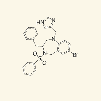 O=S(=O)(c1ccccc1)N1Cc2cc(Br)ccc2N(Cc2c[nH]cn2)CC1Cc1ccccc1